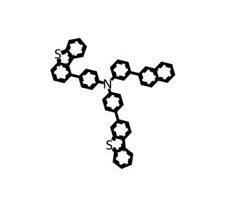 c1cc(-c2ccc3ccccc3c2)cc(N(c2ccc(-c3ccc4c(c3)sc3ccccc34)cc2)c2ccc(-c3cccc4sc5ccccc5c34)cc2)c1